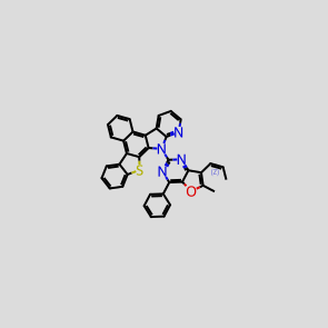 C/C=C\c1c(C)oc2c(-c3ccccc3)nc(-n3c4ncccc4c4c5ccccc5c5c6ccccc6sc5c43)nc12